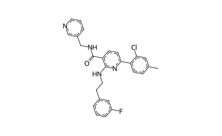 Cc1ccc(-c2ccc(C(=O)NCc3cccnc3)c(NCCc3cccc(F)c3)n2)c(Cl)c1